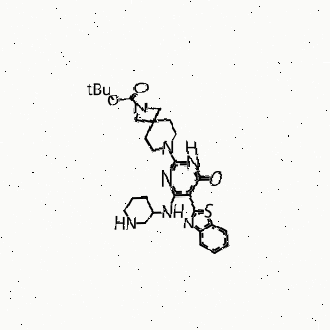 CC(C)(C)OC(=O)N1CC2(CCN(c3nc(NC4CCCNC4)c(-c4nc5ccccc5s4)c(=O)[nH]3)CC2)C1